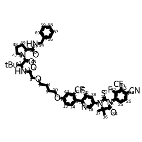 CC(C)(C)C(NC(=O)COCCCCOc1ccc(-c2ncc(N3C(=S)N(c4ccc(C#N)c(C(F)(F)F)c4F)C(=O)C3(C)C)cc2F)c(C(F)(F)F)c1)C(=O)N1CCCC1C(=O)NCc1ccccc1